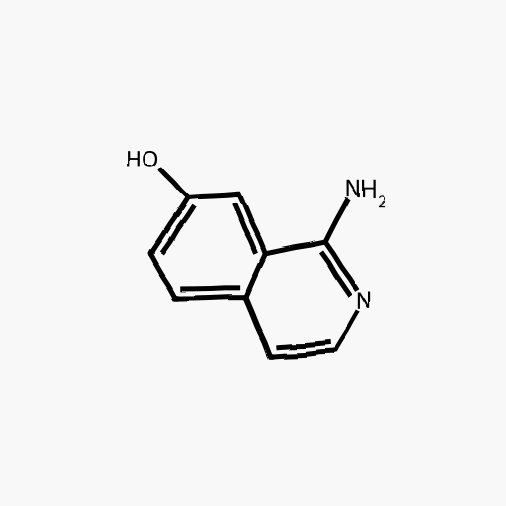 Nc1nccc2ccc(O)cc12